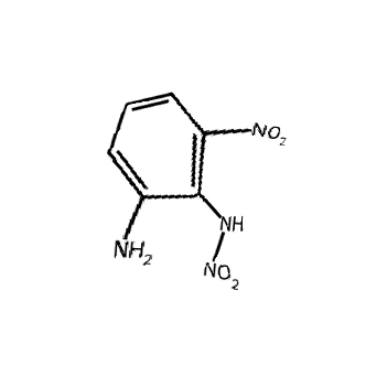 Nc1cccc([N+](=O)[O-])c1N[N+](=O)[O-]